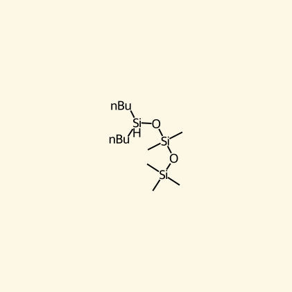 CCCC[SiH](CCCC)O[Si](C)(C)O[Si](C)(C)C